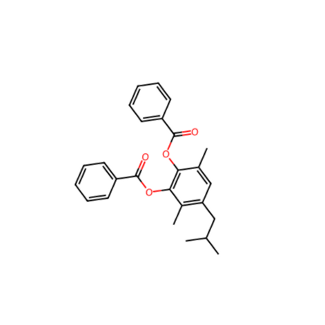 Cc1cc(CC(C)C)c(C)c(OC(=O)c2ccccc2)c1OC(=O)c1ccccc1